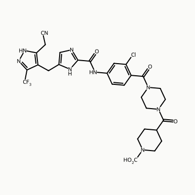 N#CCc1[nH]nc(C(F)(F)F)c1Cc1cnc(C(=O)Nc2ccc(C(=O)N3CCN(C(=O)C4CCN(C(=O)O)CC4)CC3)c(Cl)c2)[nH]1